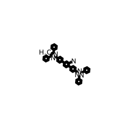 Cc1c(-c2ccccc2)nc(-c2ccc(-c3ccc(-c4ccc(-c5nc(-c6ccccc6)nc(-c6ccccc6)n5)cc4)c(C#N)c3)cc2)nc1-c1ccccc1